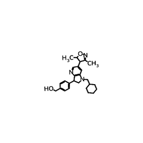 CC1=NOC(C)C1c1cnc2c(c1)N(CC1CCCCC1)CC2c1ccc(CO)cc1